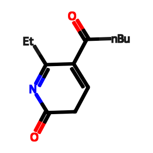 CCCCC(=O)C1=CCC(=O)N=C1CC